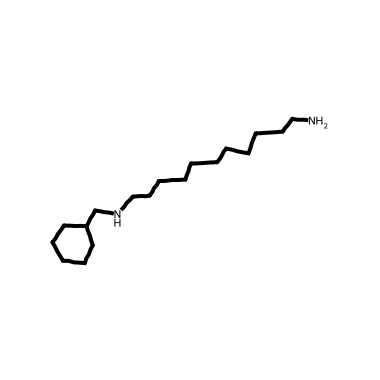 NCCCCCCCCCCCNCC1CCCCC1